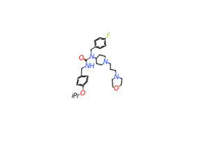 CC(C)Oc1ccc(CNC(=O)N(Cc2ccc(F)cc2)C2CCN(CCCN3CCOCC3)CC2)cc1